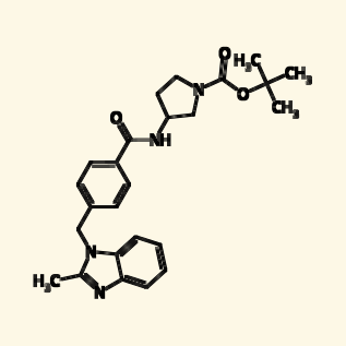 Cc1nc2ccccc2n1Cc1ccc(C(=O)NC2CCN(C(=O)OC(C)(C)C)C2)cc1